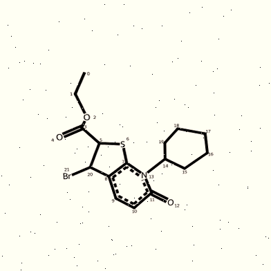 CCOC(=O)C1Sc2c(ccc(=O)n2C2CCCCC2)C1Br